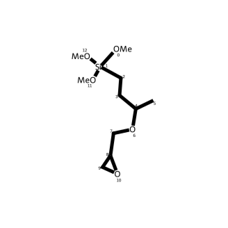 CO[Si](CCC(C)OCC1CO1)(OC)OC